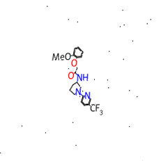 COc1ccccc1OCC(=O)NC1CCCN(c2ccc(C(F)(F)F)cn2)C1